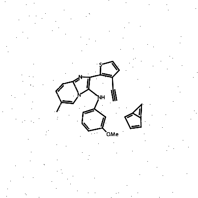 C#Cc1ccsc1-c1nc2ccc(C)cn2c1Nc1cccc(OC)c1.c1cc2cc-2c1